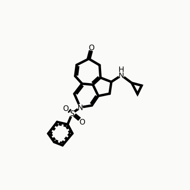 O=C1C=CC2=CN(S(=O)(=O)c3ccccc3)C=C3CC(NC4CC4)C(=C23)C1